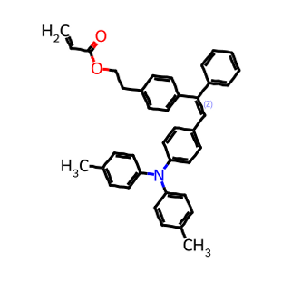 C=CC(=O)OCCc1ccc(/C(=C\c2ccc(N(c3ccc(C)cc3)c3ccc(C)cc3)cc2)c2ccccc2)cc1